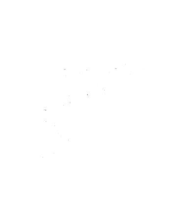 Cc1ccc(Nc2ccc(C)c(CCc3cccc([S+]([O-])c4ccccc4)c3)c2)cc1C